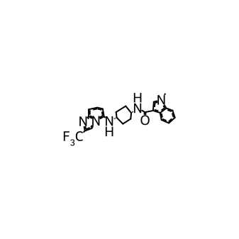 Cn1cc(C(=O)N[C@H]2CC[C@@H](Nc3cccc4nc(C(F)(F)F)cn34)CC2)c2ccccc21